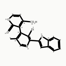 CCc1c(-c2cc3ccccc3o2)ncc(C)c1-c1c(C(=O)O)ccoc1=O